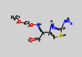 COCO/N=C(\[C]=O)c1csc(N)n1